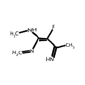 C=N/C(NC)=C(/F)C(C)=N